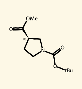 COC(=O)[C@@H]1CCN(C(=O)OC(C)(C)C)C1